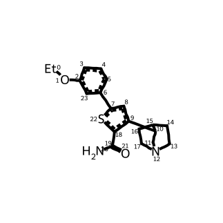 CCOc1cccc(-c2cc(C3CN4CCC3CC4)c(C(N)=O)s2)c1